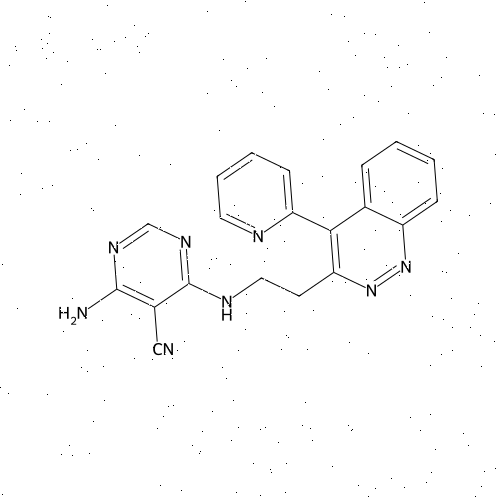 N#Cc1c(N)ncnc1NCCc1nnc2ccccc2c1-c1ccccn1